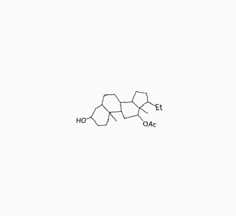 CCC1CCC2C3CCC4CC(O)CCC4(C)C3CC(OC(C)=O)C12C